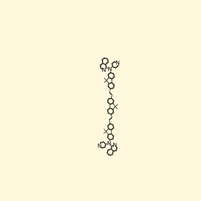 CC1(C)c2cc(/C=C/c3ccc4c(c3)C(C)(C)c3cc(N(c5ccncc5)c5nccc6ccccc56)ccc3-4)ccc2-c2ccc(/C=C/c3ccc4c(c3)C(C)(C)c3cc(N(c5ccncc5)c5nccc6ccccc56)ccc3-4)cc21